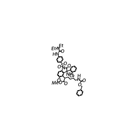 CCN(CC)C(=O)Nc1ccc(S(=O)(=O)N2C(=O)C(N)(c3ccccc3Cl)c3c2ccc(Cl)c3C(CCCCNC(=O)OCc2ccccc2)C(=O)OC)cc1